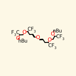 CCCCOC(COC(CC=COC=CCC(OCC(OCCCC)C(F)(F)F)C(F)(F)F)C(F)(F)F)C(F)(F)F